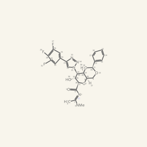 CN/C(C)=N/C(=O)[C@@H]1O[C@@H]2CO[C@H](c3ccccc3)O[C@@H]2[C@H](n2cc(-c3cc(F)c(F)c(F)c3)nn2)[C@H]1O